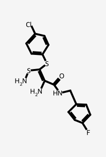 NS/C(Sc1ccc(Cl)cc1)=C(\N)C(=O)NCc1ccc(F)cc1